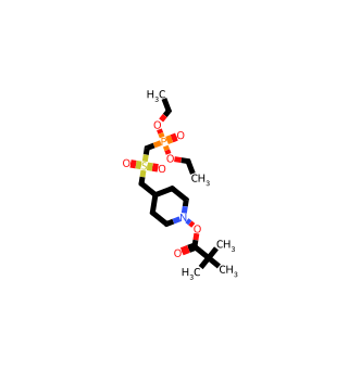 CCOP(=O)(CS(=O)(=O)CC1CCN(OC(=O)C(C)(C)C)CC1)OCC